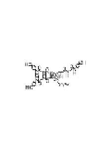 CC(=O)C(C)CC(C)CCC(=O)NC(COCCC(=O)NCCC(=O)Nc1ccc(O)cc1)(COCCC(=O)NCCC(=O)Nc1ccc(O)cc1)COCCC(=O)NCCC(=O)Nc1ccc(O)cc1